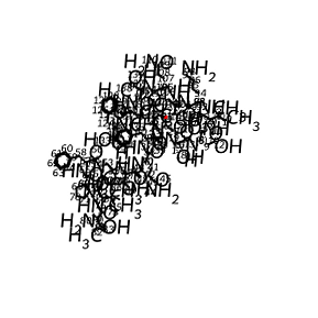 CC[C@H](C)[C@H](NC(=O)[C@H](CC(=O)O)NC(=O)[C@H](CO)NC(=O)[C@@H]1CCCN1C(=O)[C@H](Cc1ccccc1)NC(=O)[C@H](CCC(N)=O)NC(=O)[C@@H](NC(=O)CNC(=O)[C@H](Cc1ccccc1)NC(=O)[C@@H]1CCCN1C(=O)[C@@H](NC(=O)[C@@H](N)[C@@H](C)O)C(C)C)[C@@H](C)O)C(=O)N[C@@H](CCCCN)C(=O)N[C@H](C(=O)N[C@@H](CCC(N)=O)C(=O)N[C@H](C(=O)N[C@H](C(=O)N[C@@H](Cc1ccccc1)C(=O)O)C(C)C)[C@@H](C)O)C(C)C